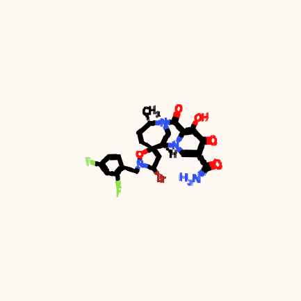 C[C@H]1CC[C@]2(CC(Br)N(Cc3ccc(F)cc3F)O2)[C@H]2CN1C(=O)c1c(O)c(=O)c(C(N)=O)cn12